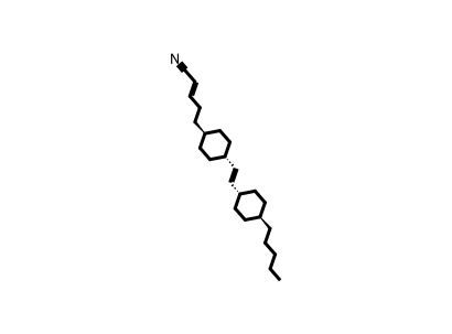 CCCCC[C@H]1CC[C@H](C=C[C@H]2CC[C@H](CCC=CC#N)CC2)CC1